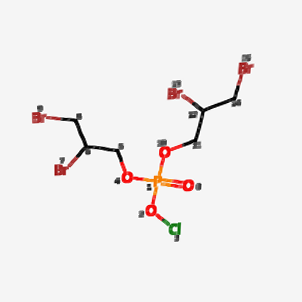 O=P(OCl)(OCC(Br)CBr)OCC(Br)CBr